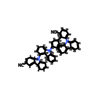 N#Cc1ccc2c(c1)c1ccccc1n2-c1cccc2c1c1ccccc1n2-c1ccc(-c2c(C#N)cccc2-n2c3ccccc3c3ccccc32)cc1